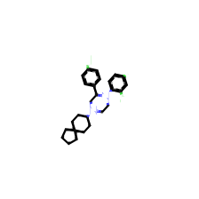 Clc1ccc(C2CN(C3CCC4(CCCC4)CC3)CCN2c2ccc(Cl)cc2Cl)cc1